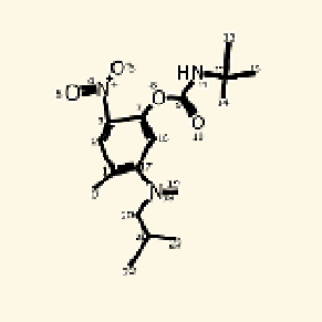 Cc1cc([N+](=O)[O-])c(OC(=O)NC(C)(C)C)cc1N(C)CC(C)C